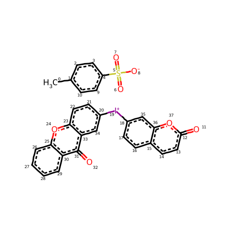 Cc1ccc(S(=O)(=O)[O-])cc1.O=c1ccc2ccc([I+]c3ccc4oc5ccccc5c(=O)c4c3)cc2o1